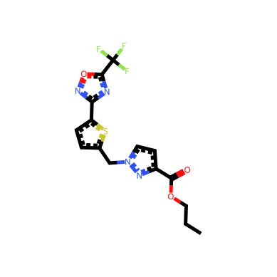 CCCOC(=O)c1ccn(Cc2ccc(-c3noc(C(F)(F)F)n3)s2)n1